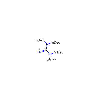 CCCCCCCCCCN(CCCCCCCCCC)C(=N)N(CCCCCCCCCC)CCCCCCCCCC